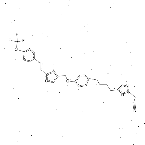 N#CCn1ncc(CCCCc2ccc(OCc3coc(C=Cc4ccc(OC(F)(F)F)cc4)n3)cc2)n1